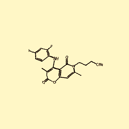 COCCCn1c(C)cc2oc(=O)c(C)c(Nc3ccc(I)cc3F)c2c1=O